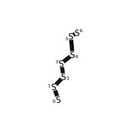 S=S=S=S=S=S=S